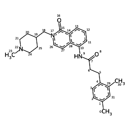 Cc1ccc(CCC(=O)Nc2cccc3c(=O)n(CC4CCN(C)CC4)ccc23)c(C)c1